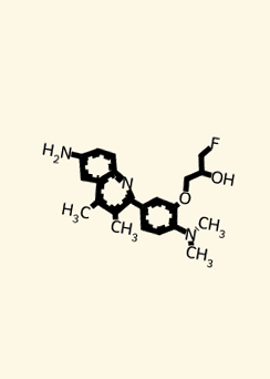 Cc1c(-c2ccc(N(C)C)c(OCC(O)CF)c2)nc2ccc(N)cc2c1C